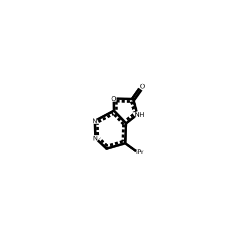 CC(C)c1cnnc2oc(=O)[nH]c12